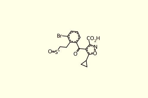 O=[S+]CCc1c(Br)cccc1C(=O)c1c(C(=O)O)noc1C1CC1